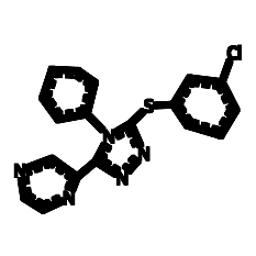 Clc1cccc(Sc2nnc(-c3cnccn3)n2-c2ccccc2)c1